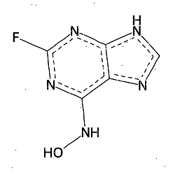 ONc1nc(F)nc2[nH]cnc12